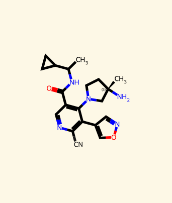 CC(NC(=O)c1cnc(C#N)c(-c2cnoc2)c1N1CC[C@](C)(N)C1)C1CC1